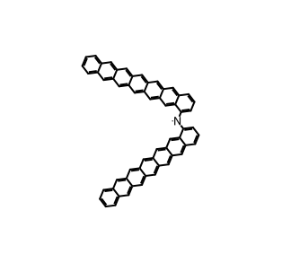 c1ccc2cc3cc4cc5cc6cc7c([N]c8cccc9cc%10cc%11cc%12cc%13cc%14ccccc%14cc%13cc%12cc%11cc%10cc89)cccc7cc6cc5cc4cc3cc2c1